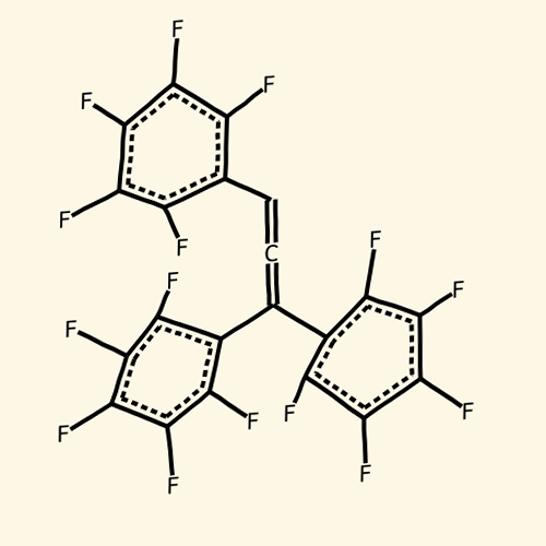 Fc1c(F)c(F)c(C=C=C(c2c(F)c(F)c(F)c(F)c2F)c2c(F)c(F)c(F)c(F)c2F)c(F)c1F